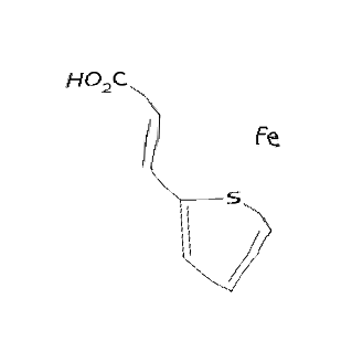 O=C(O)C=Cc1cccs1.[Fe]